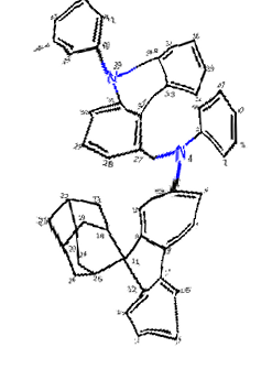 c1ccc(N(c2ccc3c(c2)C2(c4ccccc4-3)C3CC4CC(C3)CC2C4)c2cccc3c2c2ccccc2n3-c2ccccc2)cc1